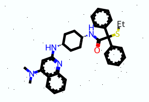 CCSC(C(=O)N[C@H]1CC[C@@H](Nc2cc(N(C)C)c3ccccc3n2)CC1)(c1ccccc1)c1ccccc1